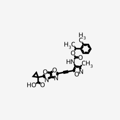 Cc1ccccc1C(C)OC(=O)Nc1c(C)noc1C#Cc1nc2nc(C3(C(=O)O)CC3)oc2o1